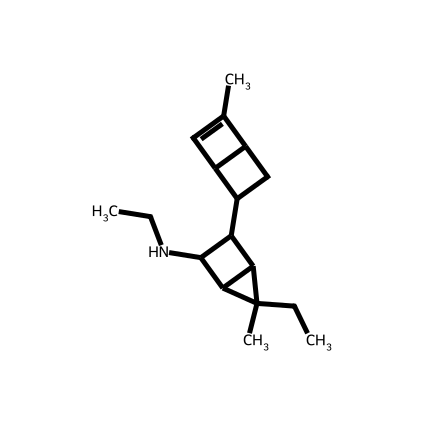 CCNC1C(C2CC3C(C)=CC32)C2C1C2(C)CC